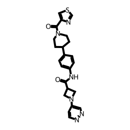 O=C(Nc1ccc(C2CCN(C(=O)c3cscn3)CC2)cc1)C1CN(c2ccnnc2)C1